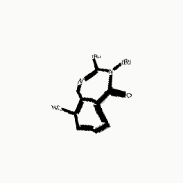 CC(C)(C)c1nc2c(C#N)cccc2c(=O)n1C(C)(C)C